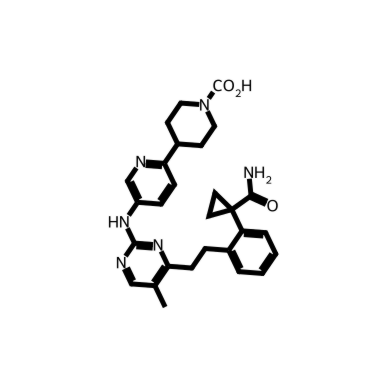 Cc1cnc(Nc2ccc(C3CCN(C(=O)O)CC3)nc2)nc1CCc1ccccc1C1(C(N)=O)CC1